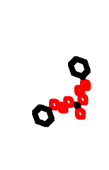 O=C(OOOC1CCCCC1)OOOC1CCCCC1